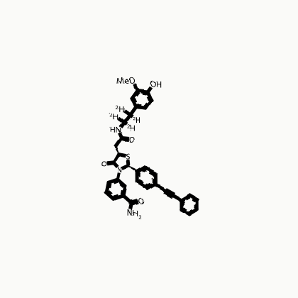 [2H]C([2H])(NC(=O)C[C@H]1S[C@@H](c2ccc(C#Cc3ccccc3)cc2)N(c2cccc(C(N)=O)c2)C1=O)C([2H])([2H])c1ccc(O)c(OC)c1